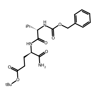 CC(C)[C@H](NC(=O)OCc1ccccc1)C(=O)N[C@H](CCC(=O)OC(C)(C)C)C(N)=O